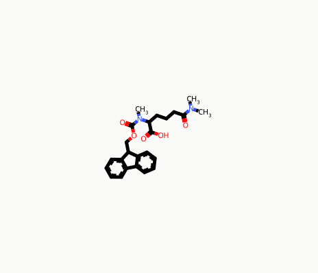 CN(C)C(=O)CCCC(C(=O)O)N(C)C(=O)OCC1c2ccccc2-c2ccccc21